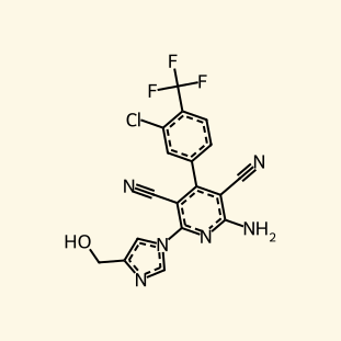 N#Cc1c(N)nc(-n2cnc(CO)c2)c(C#N)c1-c1ccc(C(F)(F)F)c(Cl)c1